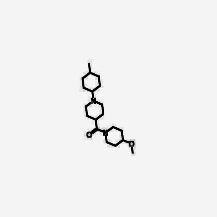 COC1CCN(C(=O)C2CCN(C3CCC(C)CC3)CC2)CC1